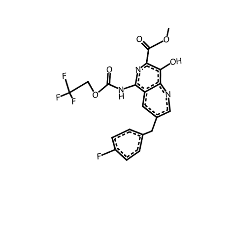 COC(=O)c1nc(NC(=O)OCC(F)(F)F)c2cc(Cc3ccc(F)cc3)cnc2c1O